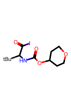 CC(C)(C)C(NC(=O)OC1CCOCC1)C(=O)I